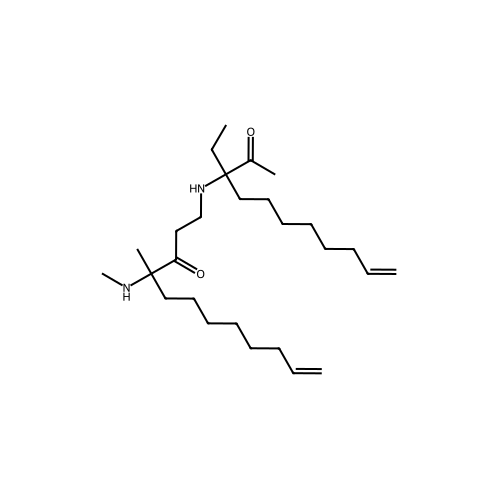 C=CCCCCCCC(C)(NC)C(=O)CCNC(CC)(CCCCCCC=C)C(C)=O